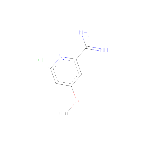 CC(C)(C)Oc1ccnc(C(=N)N)c1.Cl